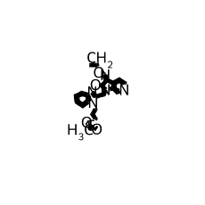 C=CCO/N=C1\C(=O)N(Cc2nc3ccccc3n2CCCS(C)(=O)=O)c2cnccc21